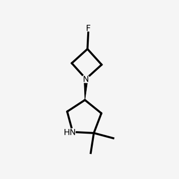 CC1(C)C[C@H](N2CC(F)C2)CN1